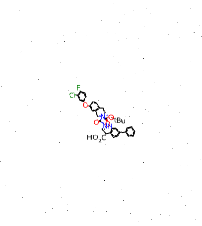 CC(C)(C)OC(=O)[N+]1(C(=O)NCC(C(=O)O)c2ccc(-c3ccccc3)cc2)CCc2ccc(Oc3ccc(F)c(Cl)c3)cc2C1